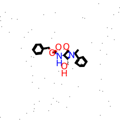 CC(c1ccccc1)N1C(=O)[C@@H](NC(=O)OCc2ccccc2)[C@H]1CO